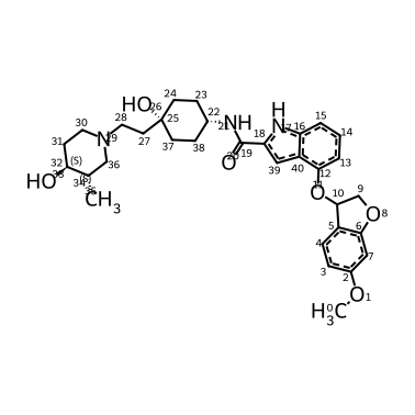 COc1ccc2c(c1)OCC2Oc1cccc2[nH]c(C(=O)N[C@H]3CC[C@](O)(CCN4CC[C@H](O)[C@@H](C)C4)CC3)cc12